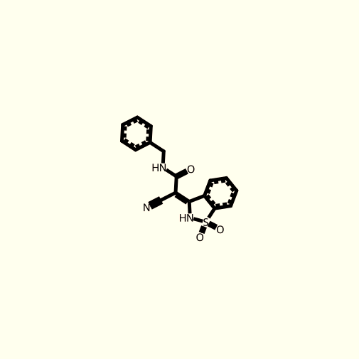 N#CC(C(=O)NCc1ccccc1)=C1NS(=O)(=O)c2ccccc21